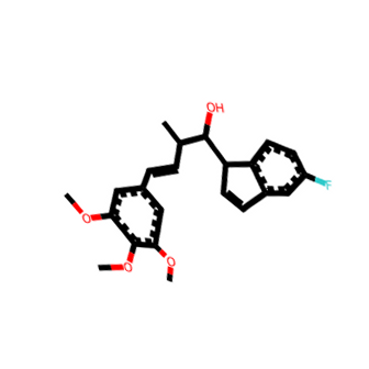 COc1cc(C=CC(C)C(O)C2C=Cc3cc(F)ccc32)cc(OC)c1OC